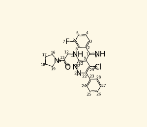 N=C(c1cccc(F)c1)c1c(NCC(=O)N2CCCC2)nnc(-c2ccccc2)c1Cl